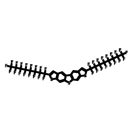 FC(F)(F)C(F)(F)C(F)(F)C(F)(F)C(F)(F)C(F)(F)C(F)(F)C(F)(F)c1cc2cc3c(cc2s1)sc1cc2sc(C(F)(F)C(F)(F)C(F)(F)C(F)(F)C(F)(F)C(F)(F)C(F)(F)C(F)(F)F)cc2cc13